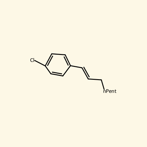 CCCCCCC=Cc1ccc(Cl)cc1